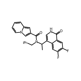 CC(C)CN(C(=O)c1cc2ccccn2c1)C(C)c1c[nH]c(=O)c2cc(F)c(F)cc12